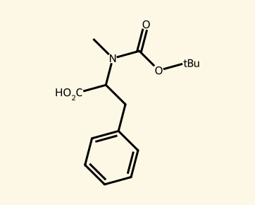 CN(C(=O)OC(C)(C)C)C(Cc1ccccc1)C(=O)O